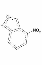 O=[N+]([O-])c1cccc2[c]occ12